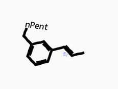 C/C=C/c1cccc(CCCCCC)c1